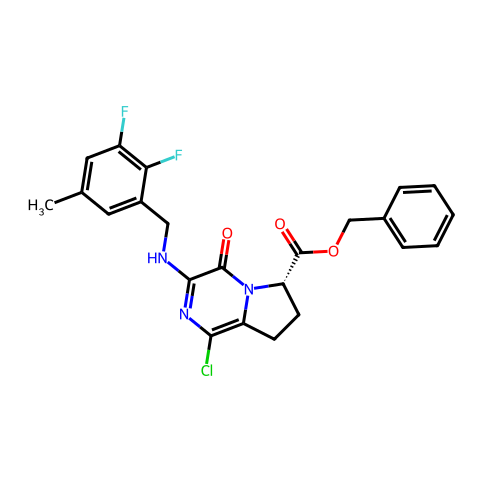 Cc1cc(F)c(F)c(CNc2nc(Cl)c3n(c2=O)[C@H](C(=O)OCc2ccccc2)CC3)c1